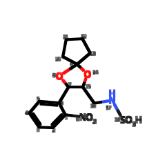 O=[N+]([O-])c1ccccc1C1OC2(CCCC2)OC1CNS(=O)(=O)O